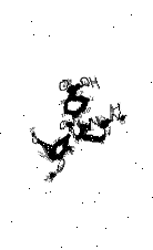 CNc1ncc2c(n1)N(C1CCC(C(=O)O)CC1)C(=O)N(c1cc(OC)cc(OC)c1F)C2